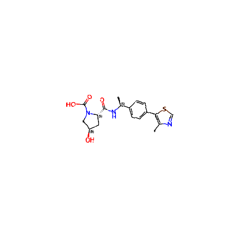 Cc1ncsc1-c1ccc([C@H](C)NC(=O)[C@@H]2C[C@@H](O)CN2C(=O)O)cc1